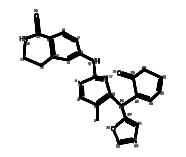 Cc1cnc(Nc2ccc3c(c2)CCNC3=O)nc1N(C1=CC=CCC1=O)c1cnco1